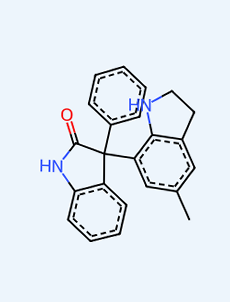 Cc1cc2c(c(C3(c4ccccc4)C(=O)Nc4ccccc43)c1)NCC2